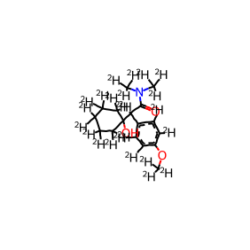 [2H]c1c([2H])c(C([2H])(C(=O)N(C([2H])([2H])[2H])C([2H])([2H])[2H])C2(O)C([2H])([2H])C([2H])([2H])C([2H])([2H])C([2H])([2H])C2([2H])[2H])c([2H])c([2H])c1OC([2H])([2H])[2H]